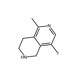 Cc1ncc(I)c2c1CCNC2